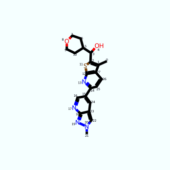 Cc1c(C(O)C2CCOCC2)sc2nc(-c3cnc4nn(C)cc4c3)ccc12